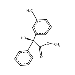 COC(=O)[C@](O)(c1ccccc1)c1cccc(C)c1